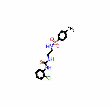 Cc1ccc(S(=O)(=O)NCCNC(=S)Nc2ccccc2Cl)cc1